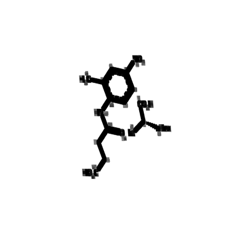 CCCCCC[C@H](CC)C(=O)O.Cc1cc([N+](=O)[O-])ccc1NC(=O)CCC(=O)O